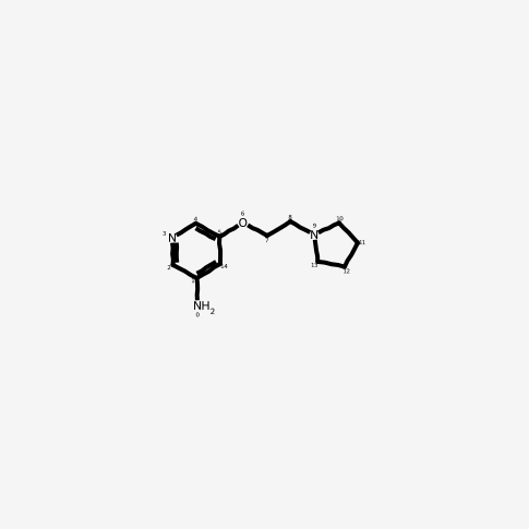 Nc1cncc(OCCN2CCCC2)c1